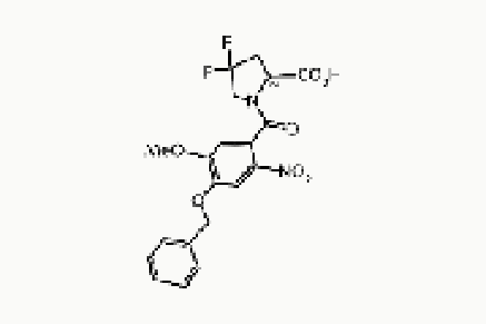 COc1cc(C(=O)N2CC(F)(F)C[C@H]2C(=O)O)c([N+](=O)[O-])cc1OCc1ccccc1